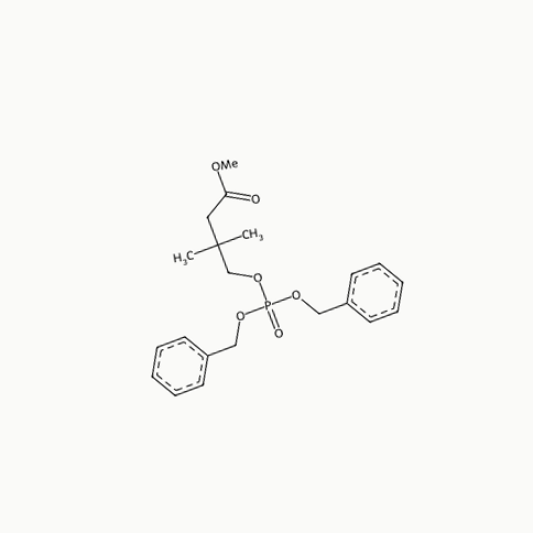 COC(=O)CC(C)(C)COP(=O)(OCc1ccccc1)OCc1ccccc1